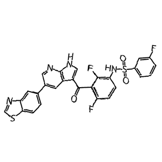 O=C(c1c(F)ccc(NS(=O)(=O)c2cccc(F)c2)c1F)c1c[nH]c2ncc(-c3ccc4scnc4c3)cc12